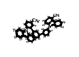 N#Cc1ccc(-n2c3ccccc3c3ccccc32)c(-c2cccc(-c3cccc(-n4c5ccccc5c5c(C#N)cccc54)c3)c2)c1